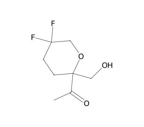 CC(=O)C1(CO)CCC(F)(F)CO1